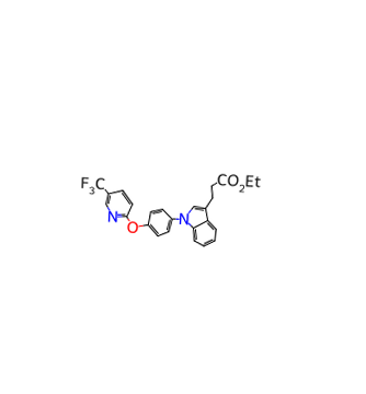 CCOC(=O)CCc1cn(-c2ccc(Oc3ccc(C(F)(F)F)cn3)cc2)c2ccccc12